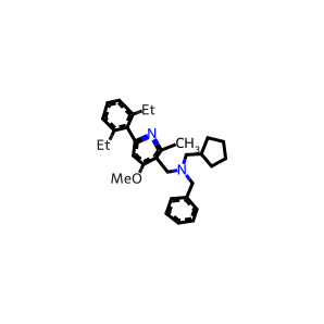 CCc1cccc(CC)c1-c1cc(OC)c(CN(Cc2ccccc2)CC2CCCC2)c(C)n1